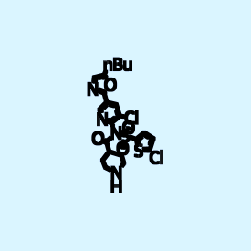 CCCCc1cnc(-c2cnc(N(C(=O)C3CCNCC3)S(=O)(=O)c3ccc(Cl)s3)c(Cl)c2)o1